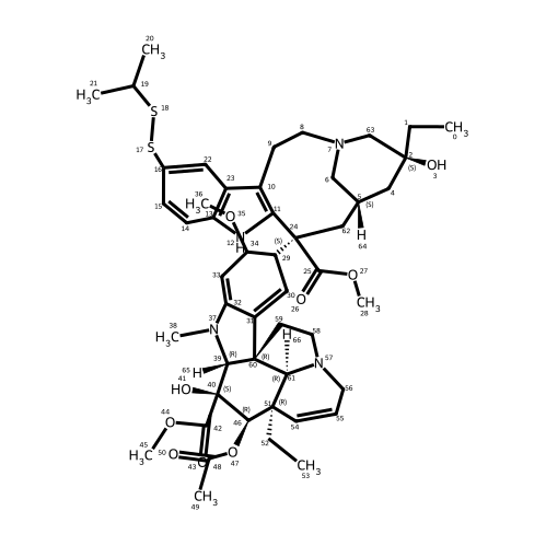 CC[C@]1(O)C[C@H]2CN(CCc3c([nH]c4ccc(SSC(C)C)cc34)[C@@](C(=O)OC)(C3C=C4C(=CC3OC)N(C)[C@H]3[C@@](O)(C(=O)OC)[C@H](OC(C)=O)[C@]5(CC)C=CCN6CC[C@]43[C@@H]65)C2)C1